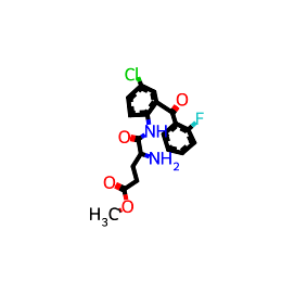 COC(=O)CCC(N)C(=O)Nc1ccc(Cl)cc1C(=O)c1ccccc1F